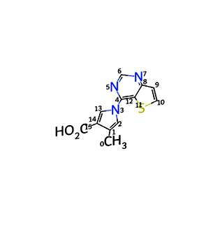 Cc1cn(-c2ncnc3ccsc23)cc1C(=O)O